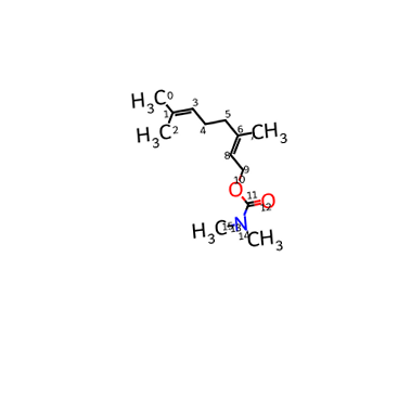 CC(C)=CCCC(C)=CCOC(=O)N(C)C